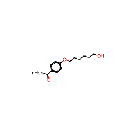 CCCCCCC(=O)c1ccc(OCCCCCCO)cc1